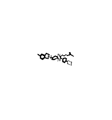 C=C(C)CCCCc1nc2cc(N3CCc4cc(C)ccc4C3)ccc2nc1-c1ccc(Cl)cc1